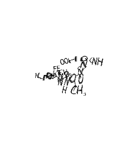 CCc1cc(NC(=O)c2ncc(-c3cn(CC#N)nc3C(F)(F)F)n2C)ccc1C(=O)N1CCN(C(=O)[C@@H]2CCNC2)CC1.O=CO